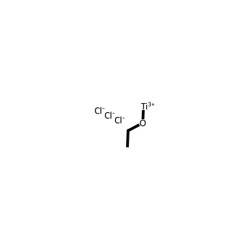 CC[O][Ti+3].[Cl-].[Cl-].[Cl-]